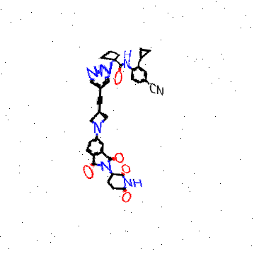 N#Cc1ccc(NC(=O)C2(n3cc(C#CC4CN(c5ccc6c(c5)C(=O)N(C5CCC(=O)NC5=O)C6=O)C4)cn3)CCC2)c(C2CC2)c1